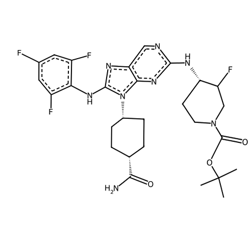 CC(C)(C)OC(=O)N1CC[C@H](Nc2ncc3nc(Nc4c(F)cc(F)cc4F)n([C@H]4CC[C@@H](C(N)=O)CC4)c3n2)C(F)C1